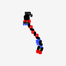 O=[N+]([O-])c1ccc(S(=O)(=O)NCCOCCOCCOCCn2cc(CN3CCS(=O)(=O)CC3)nn2)cc1